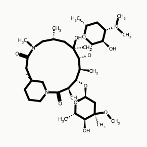 CO[C@]1(C)C[C@H](O[C@H]2[C@H](C)[C@@H](O[C@@H]3O[C@H](C)C[C@H](N(C)C)[C@H]3O)[C@](C)(O)C[C@@H](C)CN(C)C(=O)C[C@@H]3CCCN(C3)C(=O)[C@@H]2C)O[C@@H](C)[C@@H]1O